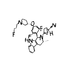 C[C@@H]1Cc2c([nH]c3ccccc23)[C@@H](c2c(F)cc(O[C@H]3CCN(CCCF)C3)cc2F)N1C12CC(C1)[C@@H](C#N)C2